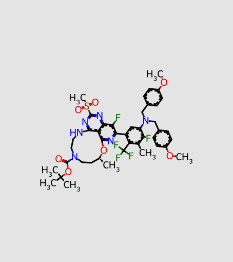 COc1ccc(CN(Cc2ccc(OC)cc2)c2cc(-c3nc4c5c(nc(S(C)(=O)=O)nc5c3F)NCCN(C(=O)OC(C)(C)C)CC[C@H](C)O4)c(C(F)(F)F)c(C)c2F)cc1